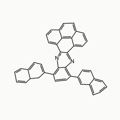 C1=CC2=CC=C(c3ccc(-c4ccc5ccccc5c4)c4nc5c6cccc7ccc8cccc(c5nc34)c8c76)CC2C=C1